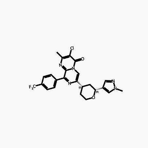 Cc1nc2c(-c3ccc(C(F)(F)F)cc3)nc([C@H]3CCO[C@@H](c4cnn(C)c4)C3)cn2c(=O)c1Cl